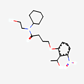 CC(O)c1c(OCCCC(=O)N(CCO)C2CCCCC2)cccc1[N+](=O)[O-]